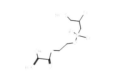 C=C(C)C(=O)OCCO[N+](CC)(CC)CC(CC)CS(=O)(=O)O